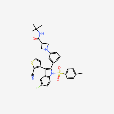 Cc1ccc(S(=O)(=O)n2c(-c3cccc(N4CC(C(=O)NC(C)(C)C)C4)c3)c(-c3ccsc3C#N)c3cc(F)ccc32)cc1